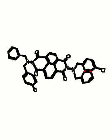 O=C1c2ccc3c4c(ccc(c24)C(=O)N1N(Cc1ccccc1)Cc1ccc(Cl)cc1)C(=O)N(N(Cc1ccccc1)Cc1ccc(Cl)cc1)C3=O